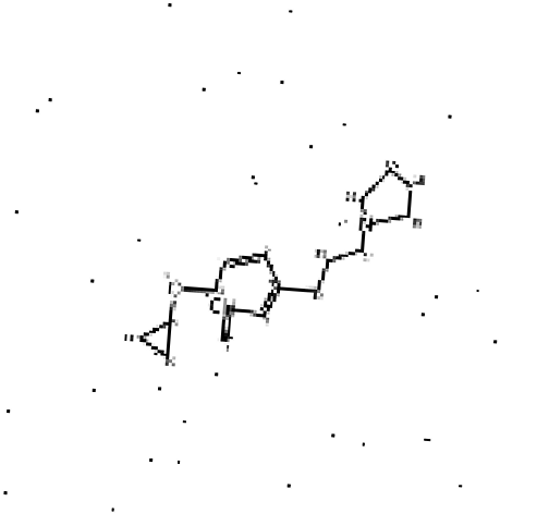 C=C(Cl)/C=C(\C=C/COC1CC1)CCCN1CCCC1